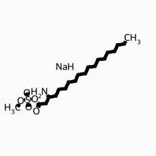 CCCCCCCCCCCCCCCCC(N)CC(=O)OS(=O)(=O)OC.[NaH]